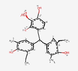 Cc1cc(C(c2cc(C)c(O)c(C)c2)c2ccc(O)c(O)c2O)cc(C)c1O